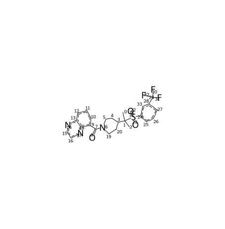 CC(C)(C1CCN(C(=O)c2cccc3nccnc23)CC1)S(=O)(=O)c1cccc(C(F)(F)F)c1